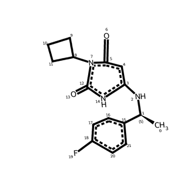 C[C@H](Nc1cc(=O)n(C2CCC2)c(=O)[nH]1)c1ccc(F)cc1